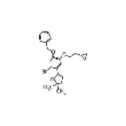 CC1(C)CCC(c2cc(OCCC3CC3)c(OCc3ccccc3)cc2Br)N1